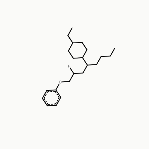 CCCCC(CC(F)COc1ccccc1)C1CCC(CC)CC1